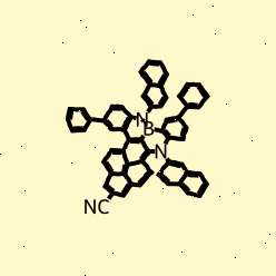 N#Cc1cc2ccc3c4c5c(c6ccc(c1)c2c36)N(c1ccc2ccccc2c1)c1ccc(-c2ccccc2)cc1B5N(c1ccc2ccccc2c1)c1ccc(-c2ccccc2)cc1-4